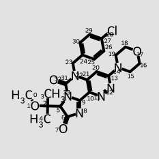 COC(C)(C)C1C(=O)N=C2c3nnc(N4CCOCC4)cc3N(Cc3ccc(Cl)cc3)C(=O)N21